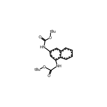 CC(C)(C)OC(=O)Nc1cc(NC(=O)OC(C)(C)C)c2ccccc2c1